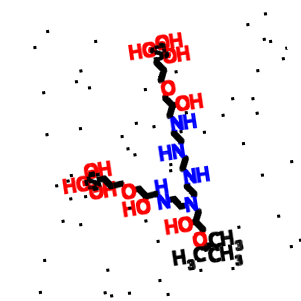 CC(C)(C)OCC(O)CN(CCNCCNCCNCC(O)COCCC[Si](O)(O)O)CCNCC(O)COCCC[Si](O)(O)O